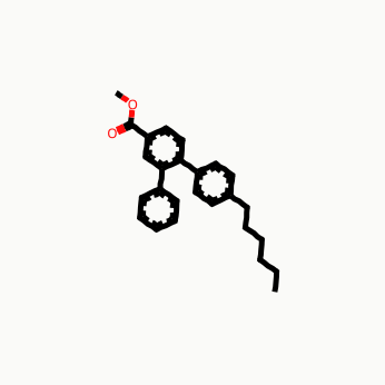 CCCCCCc1ccc(-c2ccc(C(=O)OC)cc2-c2ccccc2)cc1